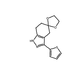 c1csc(-c2n[nH]c3c2CC2(CC3)OCCO2)c1